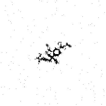 C=C=C[C@@H]1C[C@@H](C(=O)OCC)CC=C1C(C#N)(C#N)CC#C[Si](C)(C)C